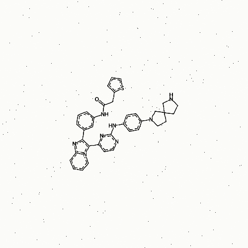 O=C(Cc1cccs1)Nc1cccc(-c2nc3ccccn3c2-c2ccnc(Nc3ccc(N4CCC5(CCNC5)C4)cc3)n2)c1